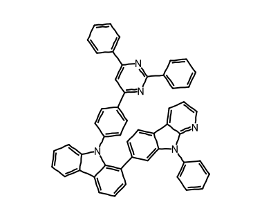 c1ccc(-c2cc(-c3ccc(-n4c5ccccc5c5cccc(-c6ccc7c8cccnc8n(-c8ccccc8)c7c6)c54)cc3)nc(-c3ccccc3)n2)cc1